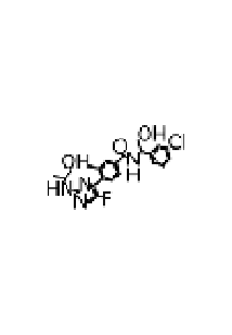 Cc1cc(C(=O)NC(CO)c2cccc(Cl)c2)ccc1-c1nc(NC(C)CO)ncc1F